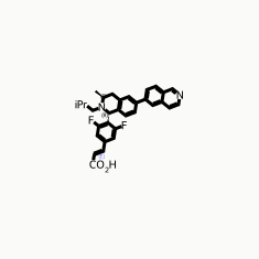 CC(C)CN1[C@@H](c2c(F)cc(/C=C/C(=O)O)cc2F)c2ccc(-c3ccc4cnccc4c3)cc2C[C@@H]1C